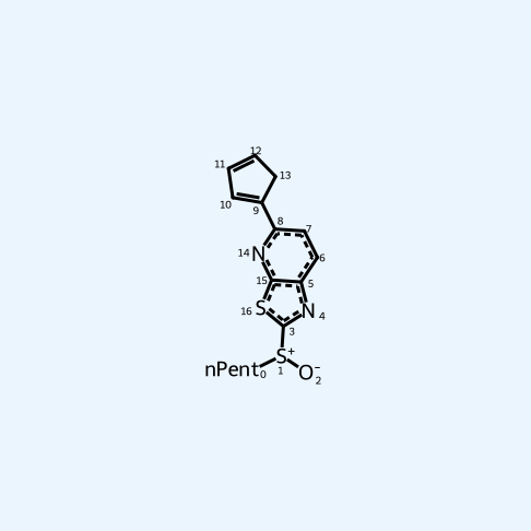 CCCCC[S+]([O-])c1nc2ccc(C3=CC=CC3)nc2s1